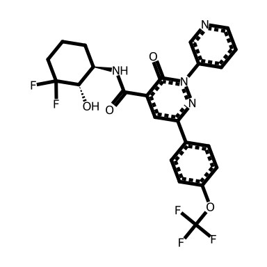 O=C(N[C@@H]1CCCC(F)(F)[C@H]1O)c1cc(-c2ccc(OC(F)(F)F)cc2)nn(-c2cccnc2)c1=O